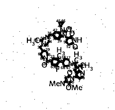 CNc1cc(=O)n(-c2ccnc3c2cc([C@H](C)N2CC=C(c4c(C)cc(C(=O)N5CCC(CN6CCN(Cc7ccc8c(c7)n(C7CC7)c(=O)n8C7CCC(=O)NC7=O)C[C@@H]6C)CC5)cc4F)CC2)n3C)cc1OC